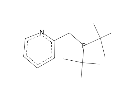 CC(C)(C)P(Cc1ccccn1)C(C)(C)C